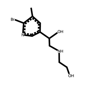 Cc1cc(C(O)CNCCO)cnc1Br